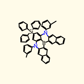 Cc1cccc(N2c3cc4ccccc4cc3B3c4cc5ccccc5cc4N(c4cccc(C)c4)c4cc([Si](c5ccccc5)(c5ccccc5)c5ccccc5)cc2c43)c1